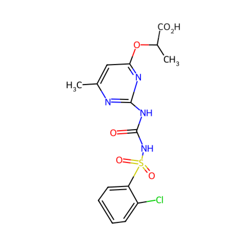 Cc1cc(OC(C)C(=O)O)nc(NC(=O)NS(=O)(=O)c2ccccc2Cl)n1